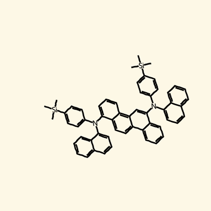 C[Si](C)(C)c1ccc(N(c2cccc3ccccc23)c2cc3c4cccc(N(c5ccc([Si](C)(C)C)cc5)c5cccc6ccccc56)c4ccc3c3ccccc23)cc1